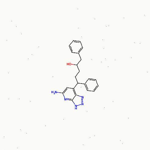 Nc1cc(C(CCC(O)Cc2ccccc2)c2ccccc2)c2nn[nH]c2n1